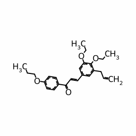 C=CCc1cc(C=CC(=O)c2ccc(OCCC)cc2)cc(OCC)c1OCC